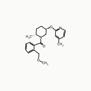 COCc1ccccc1C(=O)N1C[C@H](Oc2cc(C)ccn2)CC[C@H]1C